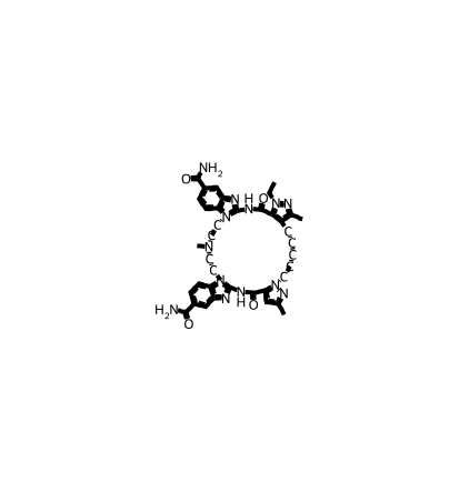 CCn1nc(C)c2c1C(=O)Nc1nc3cc(C(N)=O)ccc3n1CCN(C)CCn1c(nc3cc(C(N)=O)ccc31)NC(=O)c1cc(C)nn1CCCCC2